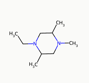 CCN1CC(C)N(C)CC1C